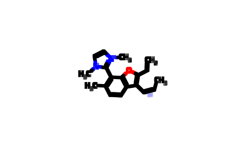 C=Cc1oc2c(-c3n(C)cc[n+]3C)c(C)ccc2c1/C=C\C